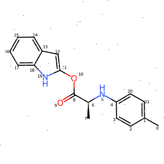 Cc1ccc(N[C@@H](C)C(=O)Oc2cc3ccccc3[nH]2)cc1